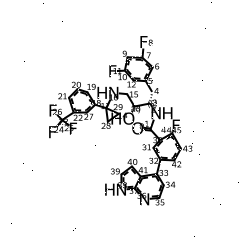 O=C(N[C@@H](Cc1cc(F)cc(F)c1)[C@H](O)CNC1(c2cccc(C(F)(F)F)c2)CC1)c1cc(-c2ccnc3[nH]ccc23)ccc1F